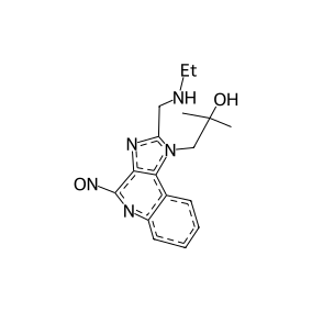 CCNCc1nc2c(N=O)nc3ccccc3c2n1CC(C)(C)O